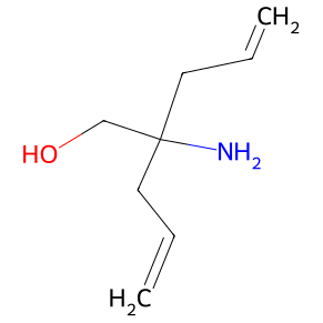 C=CCC(N)(CO)CC=C